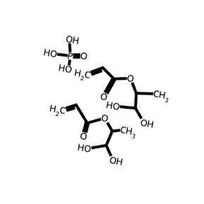 C=CC(=O)OC(C)C(O)O.C=CC(=O)OC(C)C(O)O.O=P(O)(O)O